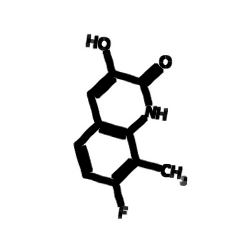 Cc1c(F)ccc2cc(O)c(=O)[nH]c12